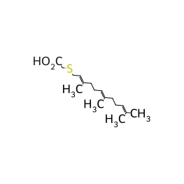 CC(C)=CCC/C(C)=C/CC/C(C)=C/CSCC(=O)O